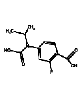 CC(C)N(C(=O)O)c1ccc(C(=O)O)c(F)c1